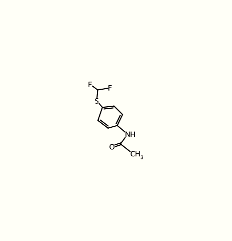 CC(=O)Nc1ccc(SC(F)F)cc1